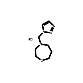 Cl.c1cn(CN2CCCOCC2)nn1